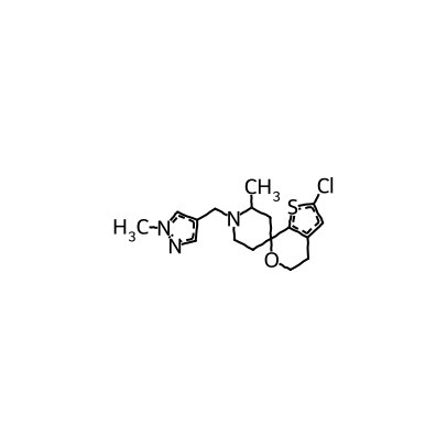 CC1CC2(CCN1Cc1cnn(C)c1)OCCc1cc(Cl)sc12